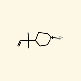 C=CC(C)(C)C1CCN(CC)CC1